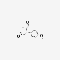 COc1ccc([C@H](CN=O)[C@H](C)C=O)cc1